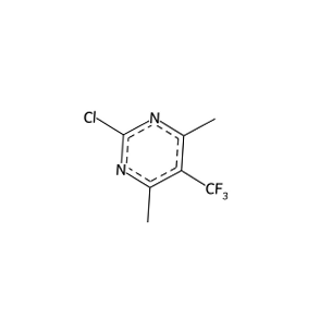 Cc1nc(Cl)nc(C)c1C(F)(F)F